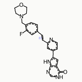 O=c1[nH]cnc2[nH]c(-c3ccnc(/C=C/c4ccc(CN5CCOCC5)c(F)c4)c3)cc12